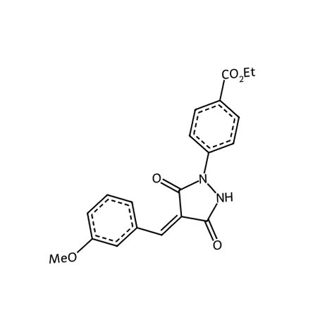 CCOC(=O)c1ccc(N2NC(=O)C(=Cc3cccc(OC)c3)C2=O)cc1